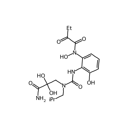 CCC(=O)C(=O)N(O)c1cccc(O)c1NC(=O)N(CC(C)C)CC(O)(O)C(N)=O